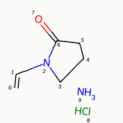 C=CN1CCCC1=O.Cl.N